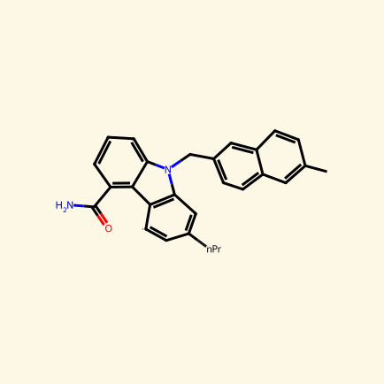 CCCc1c[c]c2c3c(C(N)=O)cccc3n(Cc3ccc4cc(C)ccc4c3)c2c1